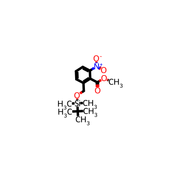 COC(=O)c1c(CO[Si](C)(C)C(C)(C)C)cccc1[N+](=O)[O-]